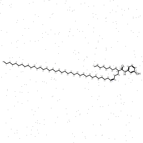 CCCCCCCCCCCCCCCCCCCCCCCCCCCCCCCCCCC/C=C\CCC(CCCCCCCC)C(=O)Nc1cccc(O)c1